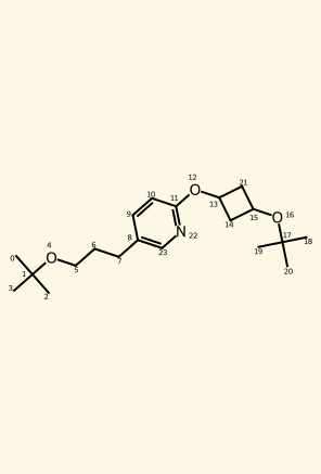 CC(C)(C)OCCCc1ccc(OC2CC(OC(C)(C)C)C2)nc1